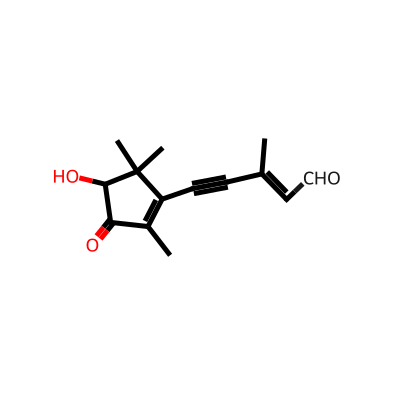 CC1=C(C#C/C(C)=C/C=O)C(C)(C)C(O)C1=O